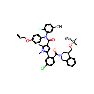 C=CCOc1ccc(N(C(=O)c2cc(-c3cc(Cl)ccc3C(=O)N3Cc4ccccc4C(CO[Si](C)(C)C(C)(C)C)C3)n(C)c2C)c2cc(C#N)ccc2F)cc1